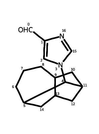 O=Cc1cn(C2C3CCCC4CC2CC4C3)cn1